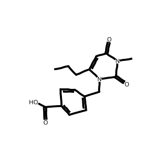 CCCc1cc(=O)n(C)c(=O)n1Cc1ccc(C(=O)O)cc1